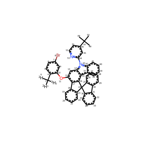 [2H]C([2H])([2H])c1ccc(Br)cc1Oc1cc2c(c3c1-c1ccccc1C31c3ccccc3-c3ccccc31)c1ccccc1n2-c1cc(C(C)(C)C)ccn1